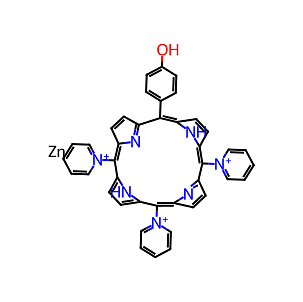 Oc1ccc(-c2c3nc(c(-[n+]4ccccc4)c4ccc([nH]4)c(-[n+]4ccccc4)c4nc(c(-[n+]5ccccc5)c5ccc2[nH]5)C=C4)C=C3)cc1.[Zn]